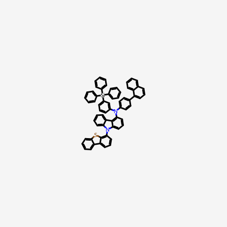 c1ccc([Si](c2ccccc2)(c2ccccc2)c2cccc(N(c3ccc(-c4cccc5ccccc45)cc3)c3cccc4c3c3ccccc3n4-c3cccc4c3sc3ccccc34)c2)cc1